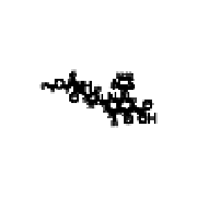 CCOCC(C)NC(=O)C1CN(c2cc(C)c3c(=O)c(C(=O)O)cn(-c4nccs4)c3n2)C1